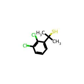 CC(C)(S)c1cccc(Cl)c1Cl